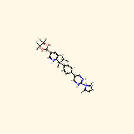 Cc1ccc(C)n1-c1ncc(-c2ccc(C(C)(c3ccc(B4OC(C)(C)C(C)(C)O4)cn3)C(C)C)cc2)cn1